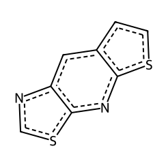 c1cc2cc3ncsc3nc2s1